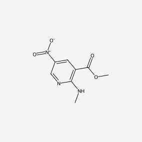 CNc1ncc([N+](=O)[O-])cc1C(=O)OC